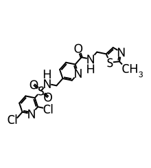 Cc1ncc(CNC(=O)c2ccc(CNS(=O)(=O)c3ccc(Cl)nc3Cl)cn2)s1